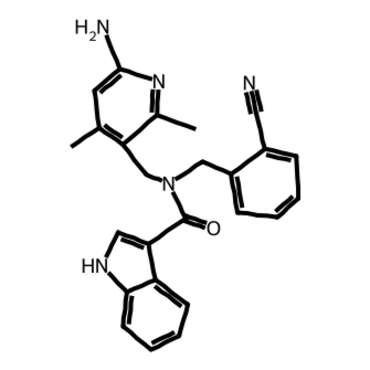 Cc1cc(N)nc(C)c1CN(Cc1ccccc1C#N)C(=O)c1c[nH]c2ccccc12